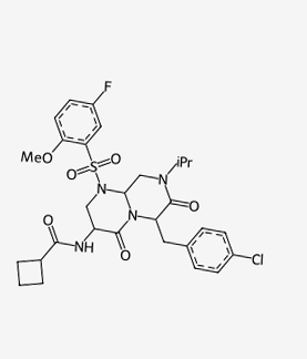 COc1ccc(F)cc1S(=O)(=O)N1CC(NC(=O)C2CCC2)C(=O)N2C(Cc3ccc(Cl)cc3)C(=O)N(C(C)C)CC21